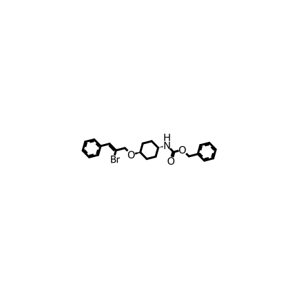 O=C(N[C@H]1CC[C@H](OCC(Br)=Cc2ccccc2)CC1)OCc1ccccc1